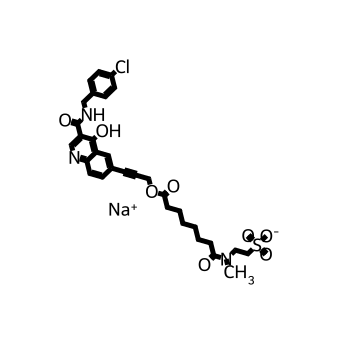 CN(CCS(=O)(=O)[O-])C(=O)CCCCCCC(=O)OCC#Cc1ccc2ncc(C(=O)NCc3ccc(Cl)cc3)c(O)c2c1.[Na+]